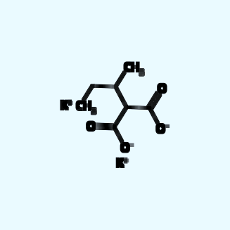 CCC(C)C(C(=O)[O-])C(=O)[O-].[K+].[K+]